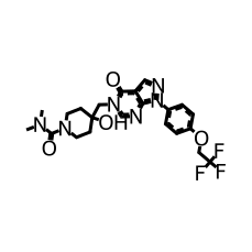 CN(C)C(=O)N1CCC(O)(Cn2cnc3c(cnn3-c3ccc(OCC(F)(F)F)cc3)c2=O)CC1